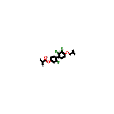 C=C(C)COc1ccc(-c2ccc(OC(=O)C(=C)C)cc2F)c(F)c1F